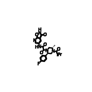 CC(C)C(=O)N1C[C@@H](c2ccc(F)cc2)N(C(=O)C(=O)Nc2cnc3o[nH]c(=O)c3c2)C[C@@H]1C